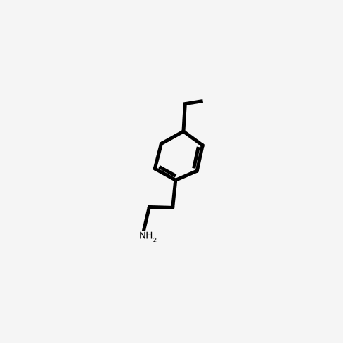 CCC1C=CC(CCN)=CC1